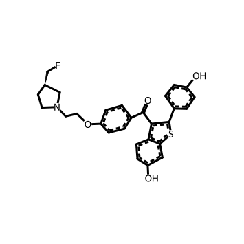 O=C(c1ccc(OCCN2CC[C@@H](CF)C2)cc1)c1c(-c2ccc(O)cc2)sc2cc(O)ccc12